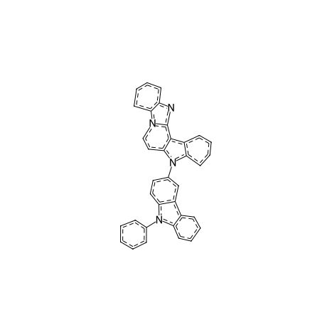 c1ccc(-n2c3ccccc3c3cc(-n4c5ccccc5c5c4ccn4c6ccccc6nc54)ccc32)cc1